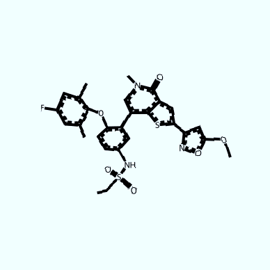 CCS(=O)(=O)Nc1ccc(Oc2c(C)cc(F)cc2C)c(-c2cn(C)c(=O)c3cc(-c4cc(OC)on4)sc23)c1